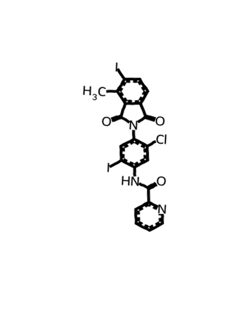 Cc1c(I)ccc2c1C(=O)N(c1cc(I)c(NC(=O)c3ccccn3)cc1Cl)C2=O